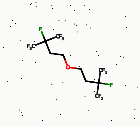 FC(F)(F)C(F)(CCOCCC(F)(C(F)(F)F)C(F)(F)F)C(F)(F)F